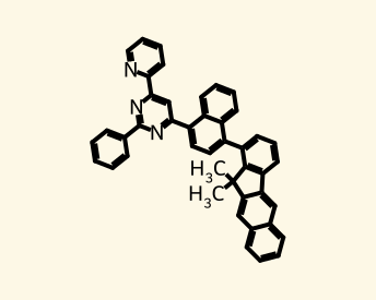 CC1(C)c2cc3ccccc3cc2-c2cccc(-c3ccc(-c4cc(-c5ccccn5)nc(-c5ccccc5)n4)c4ccccc34)c21